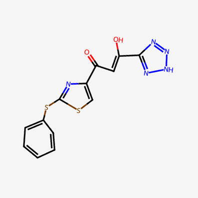 O=C(C=C(O)c1nn[nH]n1)c1csc(Sc2ccccc2)n1